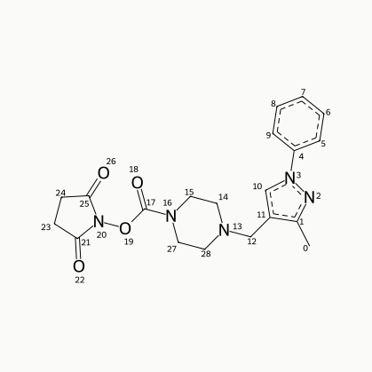 Cc1nn(-c2ccccc2)cc1CN1CCN(C(=O)ON2C(=O)CCC2=O)CC1